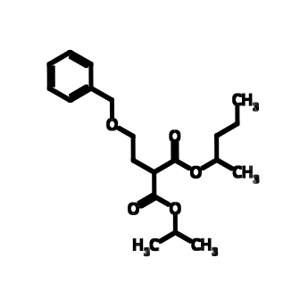 CCCC(C)OC(=O)C(CCOCc1ccccc1)C(=O)OC(C)C